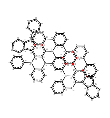 c1ccc(-c2ccccc2N2c3cc4c(cc3B3c5ccccc5Oc5c3c2cc2oc3ccccc3c52)B2c3ccccc3N(c3ccccc3)c3c2c(cc2c3c3ccccc3n2-c2ccccc2)N4c2c(-c3ccccc3)cccc2-c2ccccc2)cc1